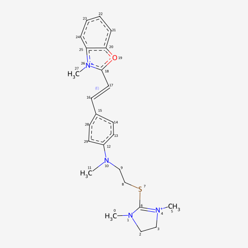 CN1CC[N+](C)=C1SCCN(C)c1ccc(/C=C/c2oc3ccccc3[n+]2C)cc1